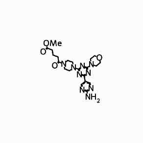 COC(=O)CCCC(=O)N1CCN(c2nc(-c3cnc(N)nc3)nc(N3CCOCC3)n2)CC1